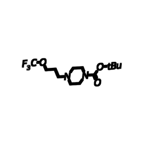 CC(C)(C)OC(=O)N1CCN(CCCOC(F)(F)F)CC1